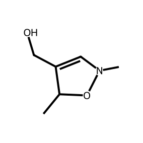 CC1ON(C)C=C1CO